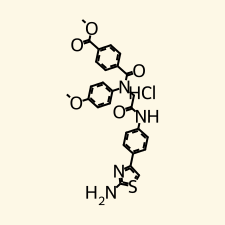 COC(=O)c1ccc(C(=O)N(CC(=O)Nc2ccc(-c3csc(N)n3)cc2)c2ccc(OC)cc2)cc1.Cl